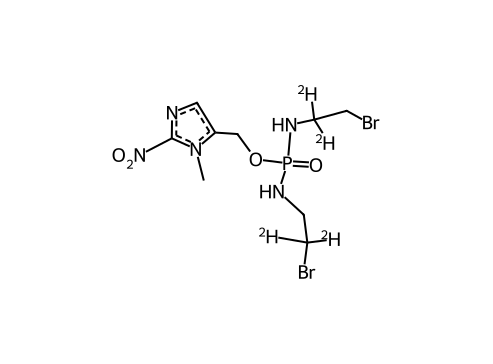 [2H]C([2H])(Br)CNP(=O)(NC([2H])([2H])CBr)OCc1cnc([N+](=O)[O-])n1C